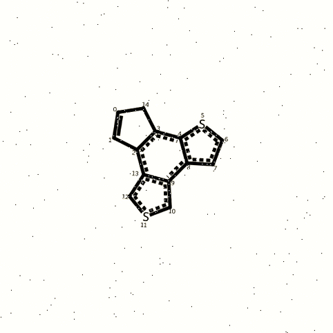 C1=Cc2c(c3sccc3c3cscc23)C1